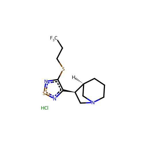 Cl.FC(F)(F)CCSc1nsnc1[C@@H]1CN2CCC[C@H]1C2